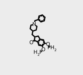 O=C1c2cc(OP)c(OP)cc2CC1CC1CCN(Cc2ccccc2)CC1